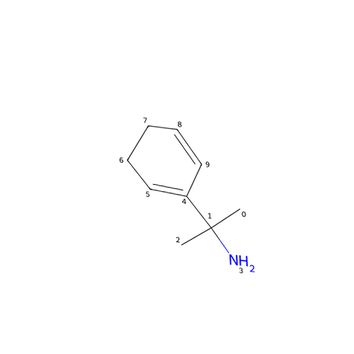 CC(C)(N)C1=CCCC=C1